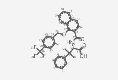 CC(C)(c1ccccc1)[C@H](NC(=O)c1ccc2cccnc2c1OCc1ccc(C(F)(F)F)cc1)C(=O)O